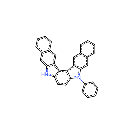 c1ccc(-n2c3cc4ccccc4cc3c3c4c(ccc32)[nH]c2cc3ccccc3cc24)cc1